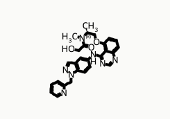 C[C@H](COc1cccc2ncnc(Nc3ccc4c(cnn4Cc4ccccn4)c3)c12)N(C)C(=O)CO